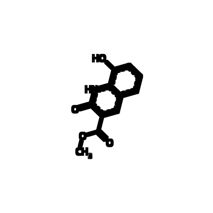 COC(=O)c1cc2cccc(O)c2[nH]c1=O